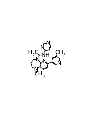 C=C(Nc1ccncn1)N1CCCN(C)c2ccc(-c3cncc(C)c3)nc21